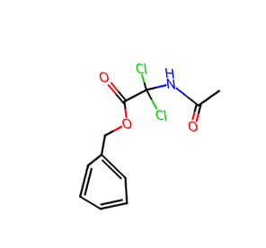 CC(=O)NC(Cl)(Cl)C(=O)OCc1ccccc1